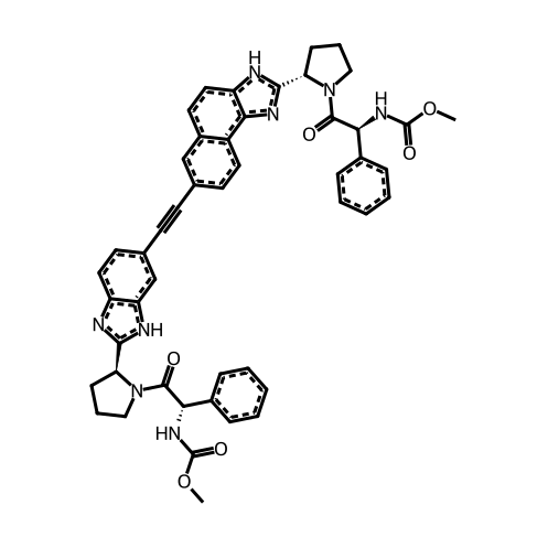 COC(=O)N[C@H](C(=O)N1CCC[C@H]1c1nc2ccc(C#Cc3ccc4c(ccc5[nH]c([C@@H]6CCCN6C(=O)[C@@H](NC(=O)OC)c6ccccc6)nc54)c3)cc2[nH]1)c1ccccc1